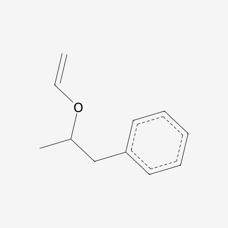 C=COC(C)Cc1ccccc1